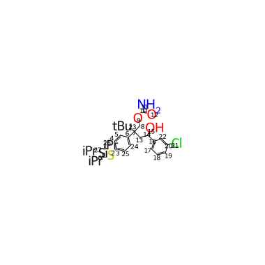 CC(C)[Si](Sc1ccc(C(COC(N)=O)(C[C@@H](O)c2cccc(Cl)c2)C(C)(C)C)cc1)(C(C)C)C(C)C